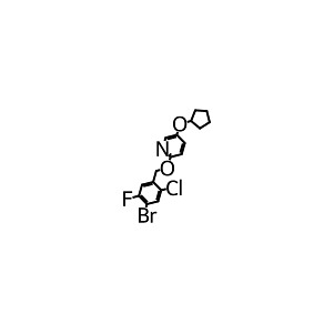 Fc1cc(COc2ccc(OC3CCCC3)cn2)c(Cl)cc1Br